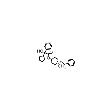 C[N+]1(CCc2ccccc2)CCC(OC(=O)C(O)(c2ccccc2)C2CCCC2)CC1